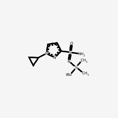 CC(C)(C)[Si](C)(C)N=S(N)(=O)c1ccn(C2CC2)n1